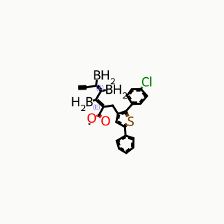 B/C(C#C)=C(B)/C(B)=C(\Cc1cc(-c2ccccc2)sc1-c1ccc(Cl)cc1)C(=O)OC